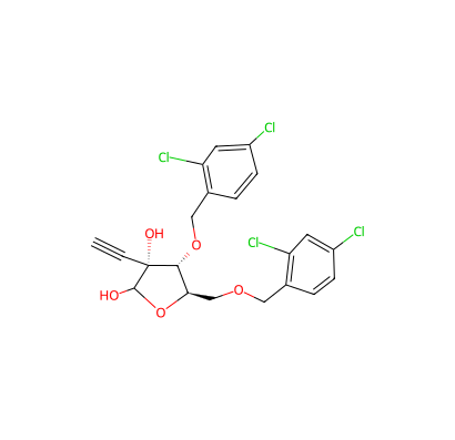 C#C[C@]1(O)C(O)O[C@H](COCc2ccc(Cl)cc2Cl)[C@H]1OCc1ccc(Cl)cc1Cl